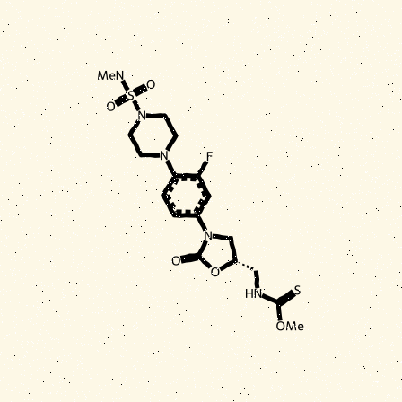 CNS(=O)(=O)N1CCN(c2ccc(N3C[C@H](CNC(=S)OC)OC3=O)cc2F)CC1